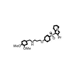 COc1ccc(CNCCCOc2ccc(S(=O)(=O)c3c(C(C)C)cn4ccccc34)cc2)cc1OC